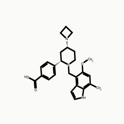 COc1cc(C)c2[nH]ccc2c1CN1CC[C@@H](N2CCC2)C[C@H]1c1ccc(C(=O)O)cc1